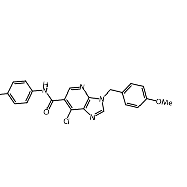 COc1ccc(Cn2cnc3c(Cl)c(C(=O)Nc4ccc(Cl)cc4)cnc32)cc1